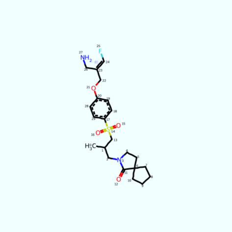 CC(CN1CCC2(CCCC2)C1=O)CS(=O)(=O)c1ccc(OC/C(=C/F)CN)cc1